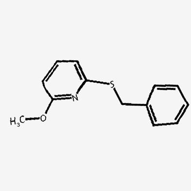 COc1cccc(SCc2ccccc2)n1